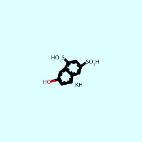 O=S(=O)(O)c1cc(S(=O)(=O)O)c2cc(O)ccc2c1.[KH]